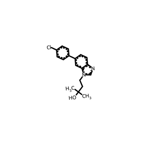 CC(C)(O)CCn1cnc2ccc(-c3ccc(Cl)cc3)cc21